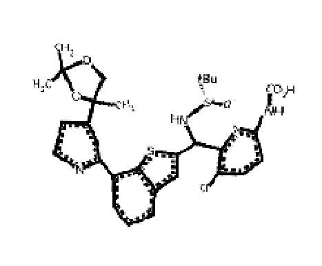 CC1(C)OCC(C)(c2ccnc(-c3cccc4cc(C(N[S@@+]([O-])C(C)(C)C)c5nc(NC(=O)O)ccc5Cl)sc34)c2)O1